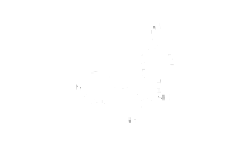 CC(C)c1[nH]c2ccc(O)cc2c1-c1ccncc1